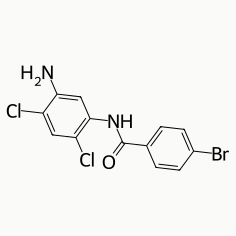 Nc1cc(NC(=O)c2ccc(Br)cc2)c(Cl)cc1Cl